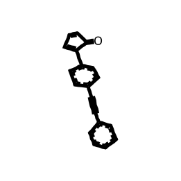 O=C1C=CC=C1c1ccc(C#Cc2ccccc2)cc1